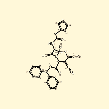 O=C=C1S[C@@H]2C(NC(=O)Cc3cccs3)C(=O)N2C(C(=O)OC(c2ccccc2)c2ccccc2)C1=C=O